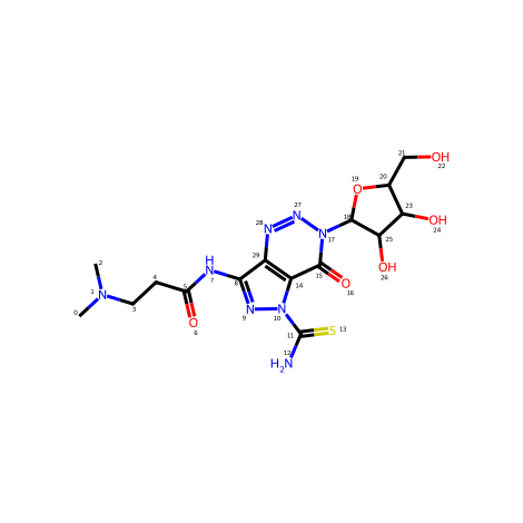 CN(C)CCC(=O)Nc1nn(C(N)=S)c2c(=O)n(C3OC(CO)C(O)C3O)nnc12